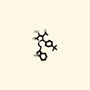 CC(=O)C1=C(O)C(=O)N(CCc2c[nH]c3ccccc23)C1c1ccc(C(C)(C)C)cc1